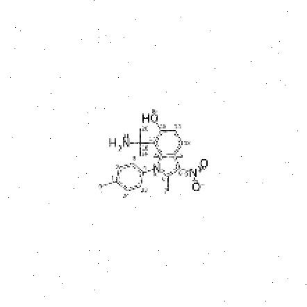 Cc1ccc(-n2c(C)c([N+](=O)[O-])c3ccc(O)c(C(C)(C)N)c32)cc1